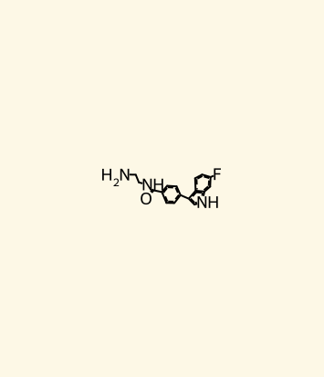 NCCNC(=O)c1ccc(-c2c[nH]c3cc(F)ccc23)cc1